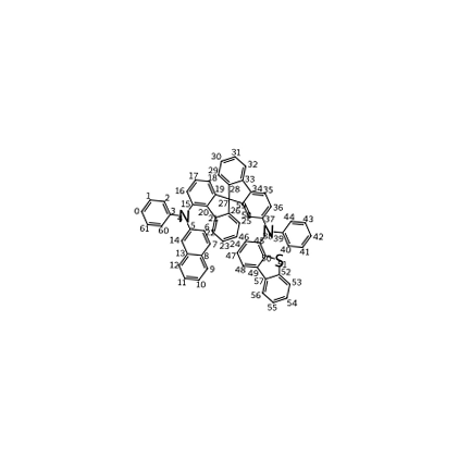 c1ccc(N(c2ccc3ccccc3c2)c2cccc3c2-c2ccccc2C32c3ccccc3-c3ccc(N(c4ccccc4)c4cccc5c4sc4ccccc45)cc32)cc1